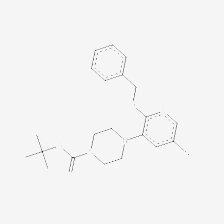 CC(C)(C)OC(=O)N1CCN(c2cc(N)cnc2OCc2ccccc2)CC1